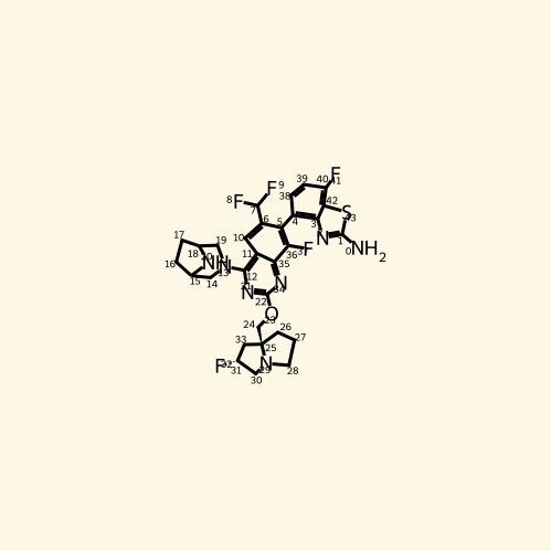 Nc1nc2c(-c3c(C(F)F)cc4c(N5CC6CCC(C5)N6)nc(OC[C@@]56CCCN5C[C@H](F)C6)nc4c3F)ccc(F)c2s1